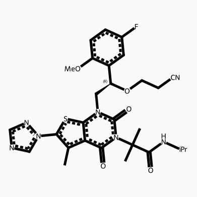 COc1ccc(F)cc1[C@H](Cn1c(=O)n(C(C)(C)C(=O)NC(C)C)c(=O)c2c(C)c(-n3cncn3)sc21)OCCC#N